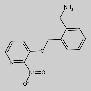 NCc1ccccc1COc1cccnc1[N+](=O)[O-]